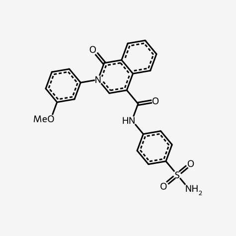 COc1cccc(-n2cc(C(=O)Nc3ccc(S(N)(=O)=O)cc3)c3ccccc3c2=O)c1